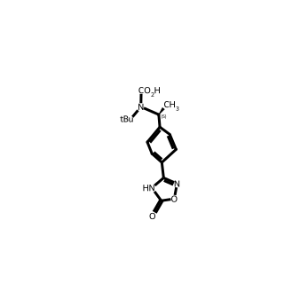 C[C@@H](c1ccc(-c2noc(=O)[nH]2)cc1)N(C(=O)O)C(C)(C)C